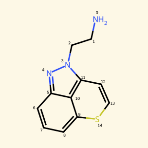 NCCn1nc2cccc3c2c1C=CS3